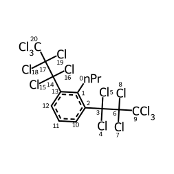 C[CH]Cc1c(C(Cl)(Cl)C(Cl)(Cl)C(Cl)(Cl)Cl)cccc1C(Cl)(Cl)C(Cl)(Cl)C(Cl)(Cl)Cl